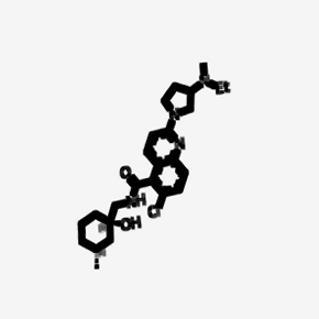 CCN(C)C1CCN(c2ccc3c(C(=O)NC[C@@]4(O)CCC[C@@H](C)C4)c(Cl)ccc3n2)C1